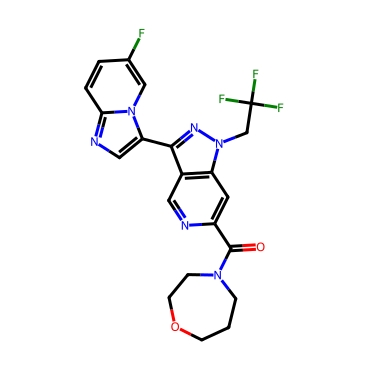 O=C(c1cc2c(cn1)c(-c1cnc3ccc(F)cn13)nn2CC(F)(F)F)N1CCCOCC1